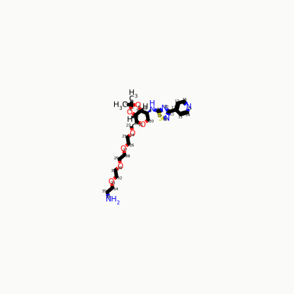 CC1(C)O[C@@H]2[C@H](O1)[C@@H](Nc1nc(-c3ccncc3)ns1)CO[C@@H]2COCCOCCOCCOCCN